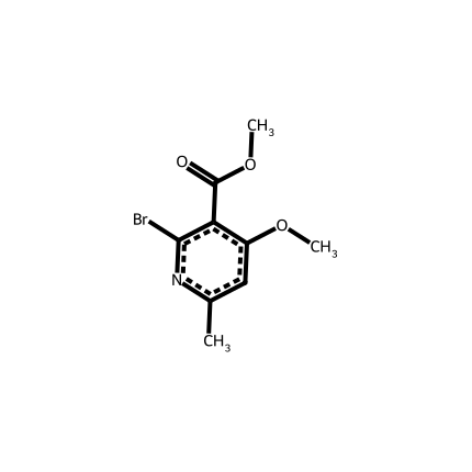 COC(=O)c1c(OC)cc(C)nc1Br